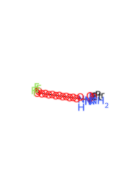 CCCN(OCC)C(=O)C1=Cc2c(cnn2CCCCCNC(=O)CCOCCOCCOCCOCCOCCOCCOCCOCCOCCOCCOCCC(=O)Oc2c(F)c(F)cc(F)c2F)N=C(N)C1